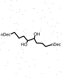 CCCCCCCCCCCCCC(O)C(O)CCCCCCCCCCCCC